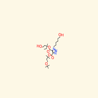 CCC(C)(CCO)OC(=O)c1c(C(=O)OC(C)(C)CCOC(C)(C)C)nnn1CCCCCCO